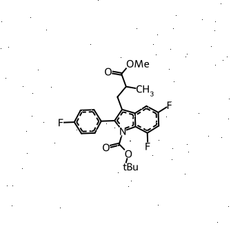 COC(=O)C(C)Cc1c(-c2ccc(F)cc2)n(C(=O)OC(C)(C)C)c2c(F)cc(F)cc12